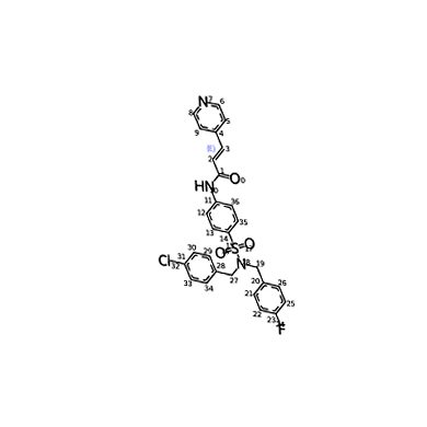 O=C(/C=C/c1ccncc1)Nc1ccc(S(=O)(=O)N(Cc2ccc(F)cc2)Cc2ccc(Cl)cc2)cc1